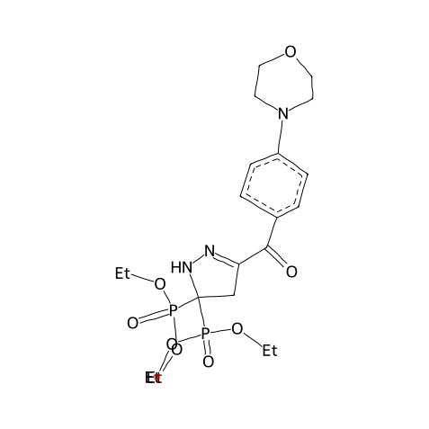 CCOP(=O)(OCC)C1(P(=O)(OCC)OCC)CC(C(=O)c2ccc(N3CCOCC3)cc2)=NN1